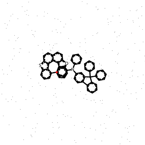 c1ccc(N(c2ccc(-c3cccc4sc5ccc6ccc7oc8ccccc8c7c6c5c34)cc2)c2ccc3c(c2)C(c2ccccc2)(c2ccccc2)c2ccccc2-3)cc1